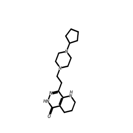 O=c1[nH]nc(CCN2CCN(C3CCCC3)CC2)c2c1CCCN2